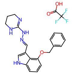 C(=N\NC1=NCCCN1)/c1c[nH]c2cccc(OCc3ccccc3)c12.O=C(O)C(F)(F)F